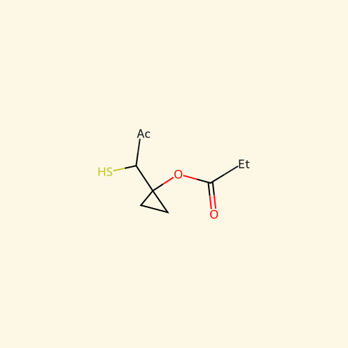 CCC(=O)OC1(C(S)C(C)=O)CC1